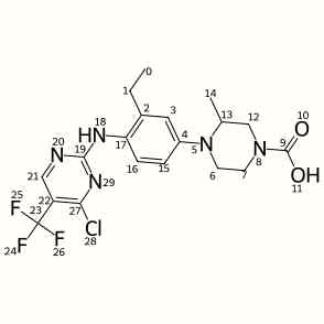 CCc1cc(N2CCN(C(=O)O)CC2C)ccc1Nc1ncc(C(F)(F)F)c(Cl)n1